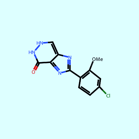 COc1cc(Cl)ccc1-c1nc2c[nH][nH]c(=O)c-2n1